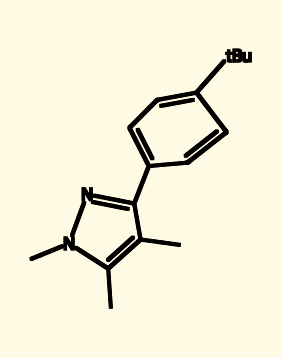 Cc1c(-c2ccc(C(C)(C)C)cc2)nn(C)c1C